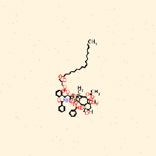 CCCCCCCC/C=C\CCCCCCCC1OC[C@H](COC(=O)O[C@@H](C(=O)O[C@H]2C[C@@]3(O)[C@@H](OC(=O)c4ccccc4)C4[C@]5(O)CO[C@@H]5C[C@H](O)[C@@]4(C)C(=O)[C@H](OC(C)=O)C(=C2C)C3(C)C)[C@@H](NC(=O)c2ccccc2)c2ccccc2)O1